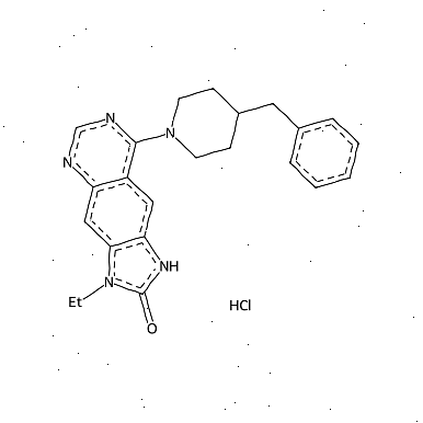 CCn1c(=O)[nH]c2cc3c(N4CCC(Cc5ccccc5)CC4)ncnc3cc21.Cl